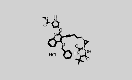 COC(=O)[C@@H]1C[C@@H](Oc2nc3ccccc3c(OCc3ccccc3)c2C#CCCC[C@@H]2C[C@H]2OC(=O)N[C@H](C(=O)O)C(C)(C)C)CN1.Cl